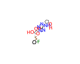 O[C@@H]1[C@H](O)[C@@H](CSc2ccccc2F)O[C@H]1n1cnc2c(N[C@@H]3CCC[C@H]3O)ncnc21